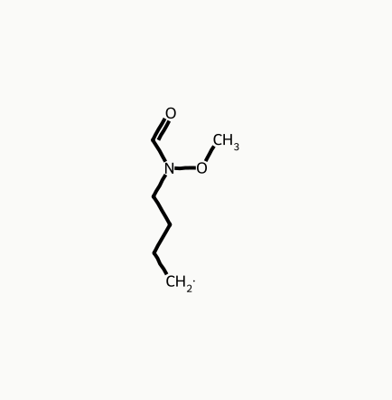 [CH2]CCCN(C=O)OC